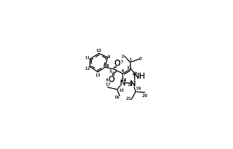 CC(C)C1=C(S(=O)(=O)c2ccccc2)N(C(C)C)N(C(C)C)N1